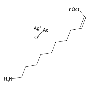 CC(=O)[O-].CCCCCCCC/C=C\CCCCCCCCN.[Ag+]